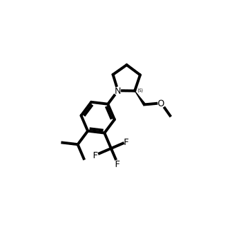 COC[C@@H]1CCCN1c1ccc(C(C)C)c(C(F)(F)F)c1